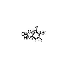 Cc1cc2[nH]c(=O)oc2c(C)c1Br